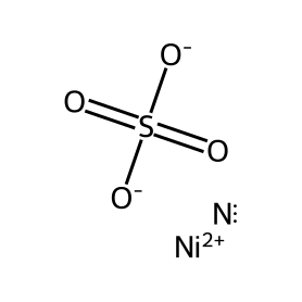 O=S(=O)([O-])[O-].[N].[Ni+2]